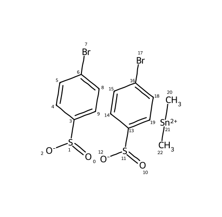 O=S([O-])c1ccc(Br)cc1.O=S([O-])c1ccc(Br)cc1.[CH3][Sn+2][CH3]